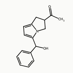 CC(=O)C1Cc2ccc(C(O)c3ccccc3)n2C1